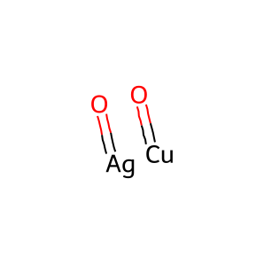 [O]=[Ag].[O]=[Cu]